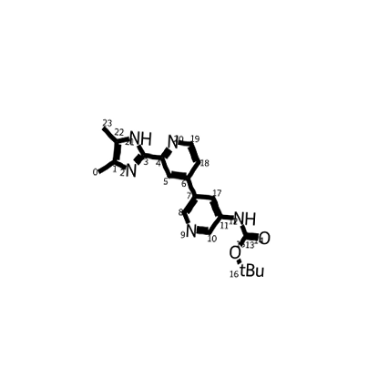 Cc1nc(-c2cc(-c3cncc(NC(=O)OC(C)(C)C)c3)ccn2)[nH]c1C